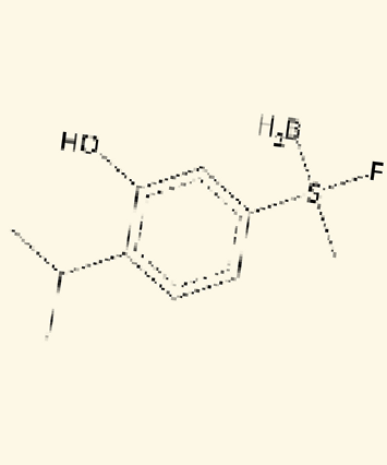 BS(C)(F)c1ccc(C(C)C)c(O)c1